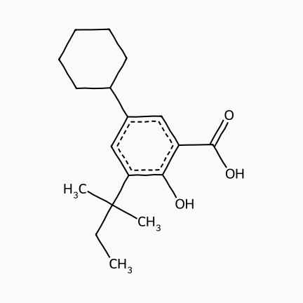 CCC(C)(C)c1cc(C2CCCCC2)cc(C(=O)O)c1O